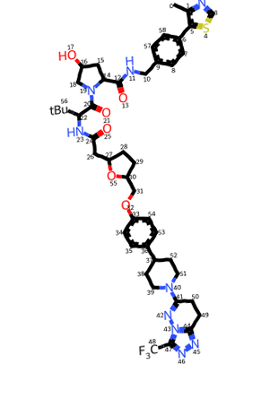 Cc1ncsc1-c1ccc(CNC(=O)C2CC(O)CN2C(=O)C(NC(=O)CC2CCC(COc3ccc(C4CCN(C5=Nn6c(nnc6C(F)(F)F)CC5)CC4)cc3)O2)C(C)(C)C)cc1